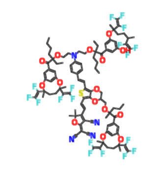 CCCCC(CC)(OCCN(CCOC(CC)(CCCC)C(=O)c1cc2cc(c1)OC(C)(C(F)=C(F)F)CCC(C)(C(F)=C(F)F)O2)c1ccc(/C=C/c2sc(/C=C/C3=C(C#N)C(=C(C#N)C#N)OC3(C)C)c3c2OCC(COC(C)(CCC)C(=O)c2cc4cc(c2)OC(C)(C(F)=C(F)F)CCC(C)(C(F)=C(F)F)O4)O3)cc1)C(=O)c1cc(O)cc(OC(C)(CCC(C)C(F)=C(F)F)C(F)=C(F)F)c1